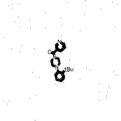 CC(C)(C)c1ccccc1N1CCN(C(=O)c2c[c]cnc2)CC1